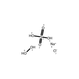 O=S(=O)(O)O.OO.[Cl-].[Na+]